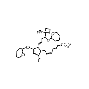 CCCC1(C(C/C=C/[C@@H]2[C@@H](C/C=C\CCCC(=O)O)[C@H](F)C[C@H]2OC2CCCCO2)OC2CCCCO2)CCC1